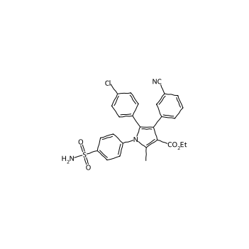 CCOC(=O)c1c(-c2cccc(C#N)c2)c(-c2ccc(Cl)cc2)n(-c2ccc(S(N)(=O)=O)cc2)c1C